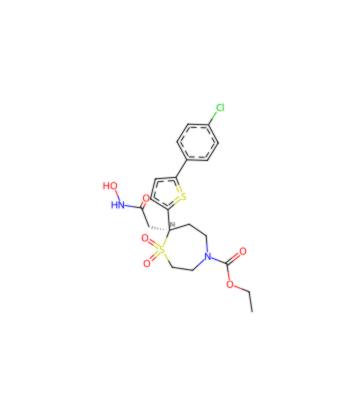 CCOC(=O)N1CC[C@](CC(=O)NO)(c2ccc(-c3ccc(Cl)cc3)s2)S(=O)(=O)CC1